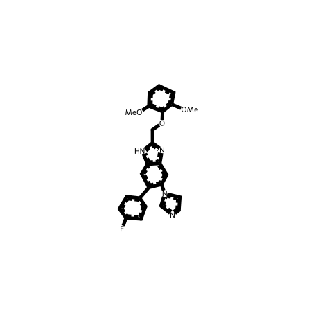 COc1cccc(OC)c1OCc1nc2cc(-n3ccnc3)c(-c3ccc(F)cc3)cc2[nH]1